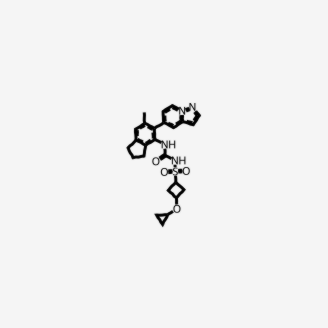 Cc1cc2c(c(NC(=O)NS(=O)(=O)C3CC(OC4CC4)C3)c1-c1ccn3nccc3c1)CCC2